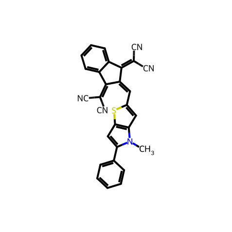 Cn1c(-c2ccccc2)cc2sc(C=C3C(=C(C#N)C#N)c4ccccc4C3=C(C#N)C#N)cc21